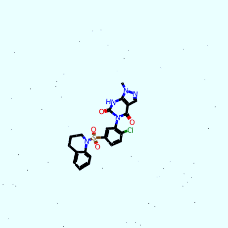 Cn1ncc2c(=O)n(-c3cc(S(=O)(=O)N4CCCc5ccccc54)ccc3Cl)c(=O)[nH]c21